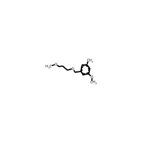 COCCCOCc1cc(C)cc(OC)c1